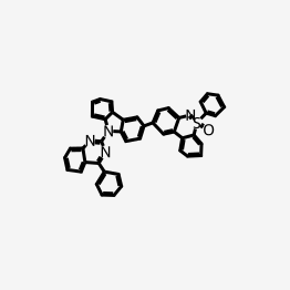 O=S1(c2ccccc2)=Nc2ccc(-c3ccc4c(c3)c3ccccc3n4-c3nc(-c4ccccc4)c4ccccc4n3)cc2-c2ccccc21